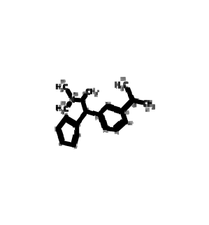 [CH2]C(C(c1ccccc1)c1cccc(C(C)C)c1)N(C)C